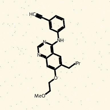 C#Cc1cccc(Nc2ncnc3cc(OCCOC)c(CC(C)C)cc23)c1